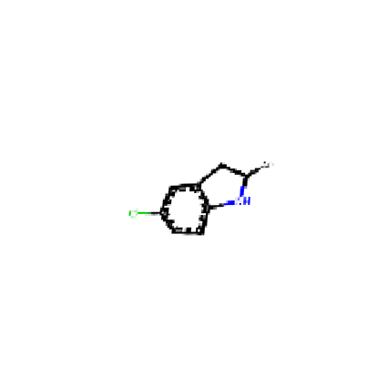 CC(=O)C1Cc2cc(Cl)ccc2N1